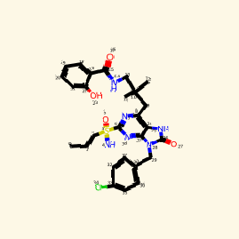 CCCS(=N)(=O)c1nc(CC(C)(C)CNC(=O)c2ccccc2O)c2[nH]c(=O)n(Cc3ccc(Cl)cc3)c2n1